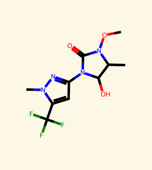 CON1C(=O)N(c2cc(C(F)(F)F)n(C)n2)C(O)C1C